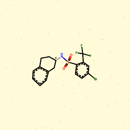 O=S(=O)(N[C@H]1CCc2ccccc2C1)c1ccc(Br)cc1C(F)(F)F